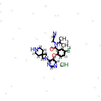 CC(C)N(CC#N)C(=O)c1cc(F)ccc1Oc1cncnc1N1CC2(CCNCC2)C1.Cl